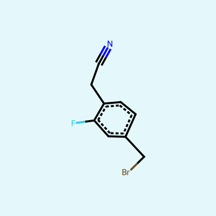 N#CCc1ccc(CBr)cc1F